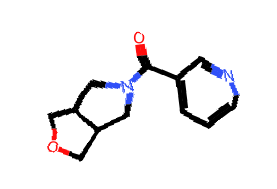 O=C(c1cccnc1)N1CC2COCC2C1